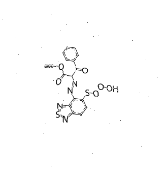 C#COC(=O)C(/N=N/c1c(SOOO)ccc2nsnc12)C(=O)c1ccccc1